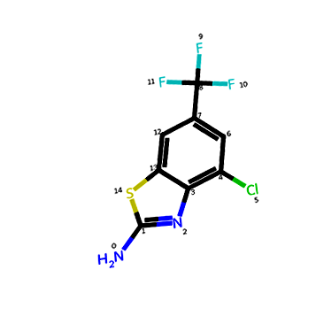 Nc1nc2c(Cl)cc(C(F)(F)F)cc2s1